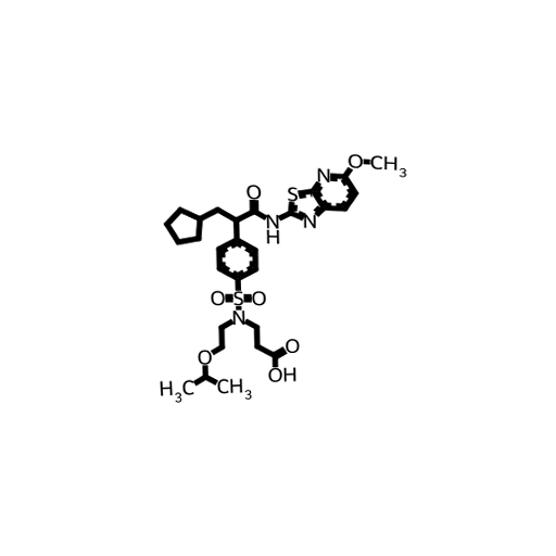 COc1ccc2nc(NC(=O)C(CC3CCCC3)c3ccc(S(=O)(=O)N(CCOC(C)C)CCC(=O)O)cc3)sc2n1